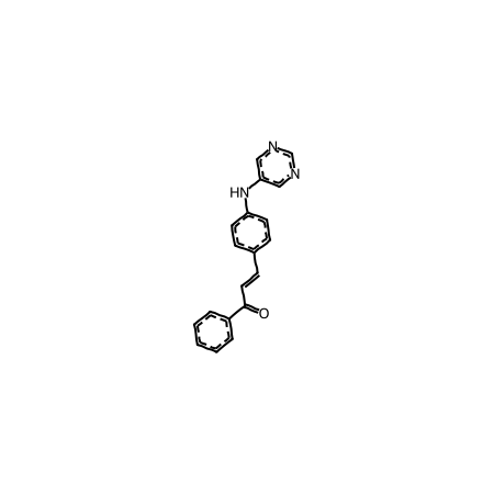 O=C(C=Cc1ccc(Nc2cncnc2)cc1)c1ccccc1